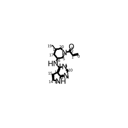 C=CC(=O)N1CC(Nc2ncnc3[nH]ccc23)C[C@@H](C)C1